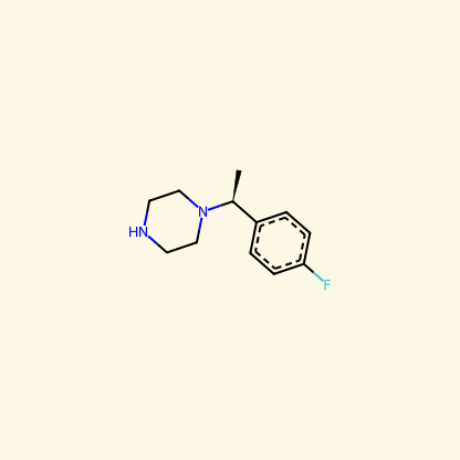 C[C@@H](c1ccc(F)cc1)N1CCNCC1